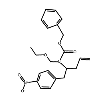 C=CCC(Cc1ccc([N+](=O)[O-])cc1)N(COCC)C(=O)OCc1ccccc1